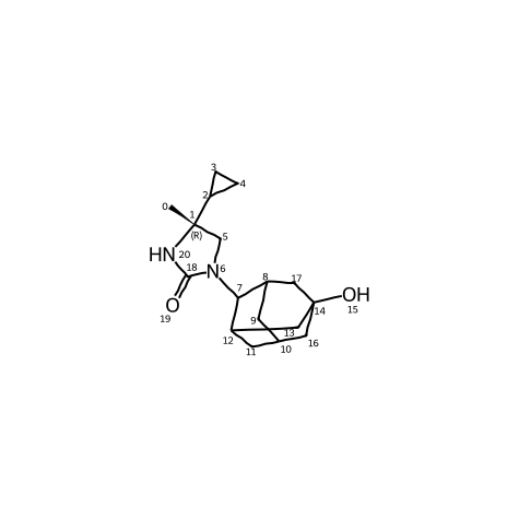 C[C@@]1(C2CC2)CN(C2C3CC4CC2CC(O)(C4)C3)C(=O)N1